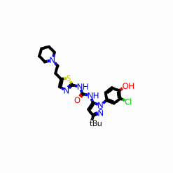 CC(C)(C)c1cc(NC(=O)Nc2ncc(CCN3CCCCC3)s2)n(-c2ccc(O)c(Cl)c2)n1